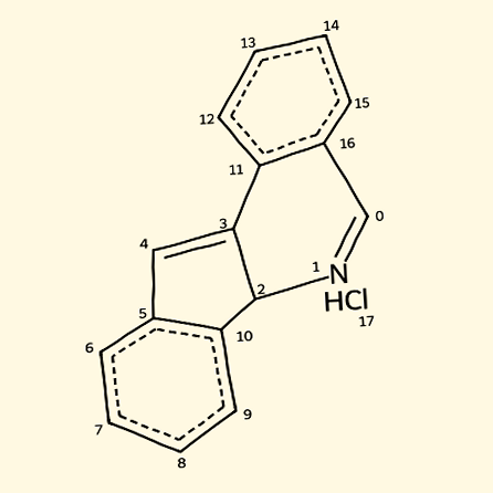 C1=NC2C(=Cc3ccccc32)c2ccccc21.Cl